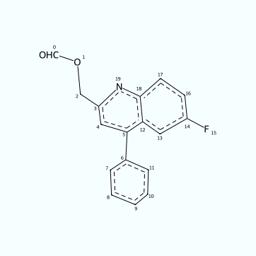 O=COCc1cc(-c2ccccc2)c2cc(F)ccc2n1